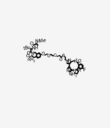 CN[C@@H](C)C(=O)N[C@H](C(=O)N1Cc2cc(OCCOCCOCCC(=O)N(C)CCn3cc4c(n3)CN(C)C(=O)c3ccc(F)cc3[C@H]3CCCN3c3cc-4cnc3N)ccc2C[C@H]1C(N)=O)C(C)(C)C